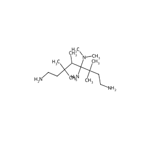 CC(C(C)(C)CCN)C(N)(N(C)C)C(C)(C)CCN